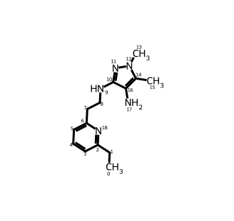 CCc1cccc(CCNc2nn(C)c(C)c2N)n1